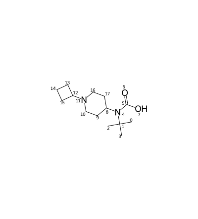 CC(C)(C)N(C(=O)O)C1CCN(C2CCC2)CC1